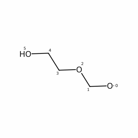 [O]COCCO